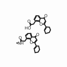 CNC(=O)Cc1cccc2c(=O)cc(C3=CCCCC3)oc12.O=C(O)Cc1cccc2c(=O)cc(C3=CCCCC3)oc12